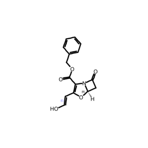 O=C(OCc1ccccc1)C1=C(/C=C/O)O[C@@H]2CC(=O)N12